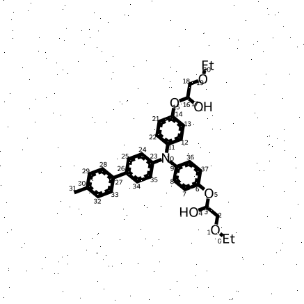 CCOCC(O)Oc1ccc(N(c2ccc(OC(O)COCC)cc2)c2ccc(-c3ccc(C)cc3)cc2)cc1